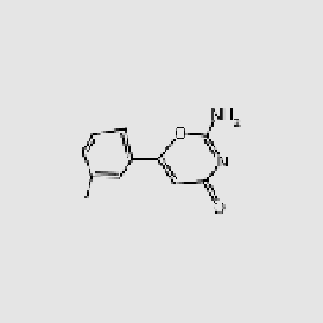 Cc1cccc(-c2cc(=O)nc(N)o2)c1